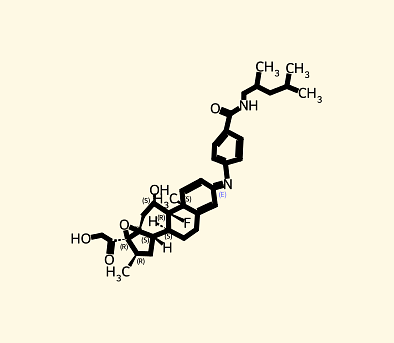 CC(C)CC(C)CNC(=O)c1ccc(/N=C2\C=C[C@@]3(C)C(=C2)CC[C@H]2[C@@H]4C[C@@H](C)[C@@]5(C(=O)CO)O[C@]45C[C@H](O)[C@@]23F)cc1